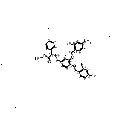 COC(=O)[C@@H](NCc1ccc(OCc2ccc(F)cc2F)c(OCc2ccc(C)cc2F)c1)c1ccccc1